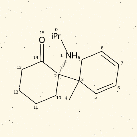 CC(C)N[C@]1(C2(C)C=CC=CC2)CCCCC1=O